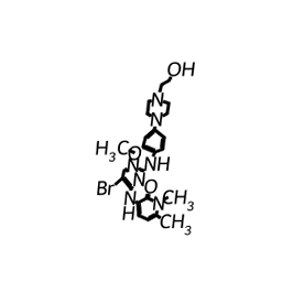 COc1cc(N2CCN(CCO)CC2)ccc1Nc1ncc(Br)c(Nc2ccc(C)n(C)c2=O)n1